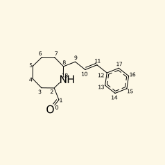 O=CC1CCCCCC(CC=Cc2ccccc2)N1